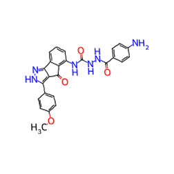 COc1ccc(-c2[nH]nc3c2C(=O)c2c(NC(=O)NNC(=O)c4ccc(N)cc4)cccc2-3)cc1